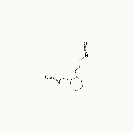 O=C=NCCCC1CCCCC1CN=C=O